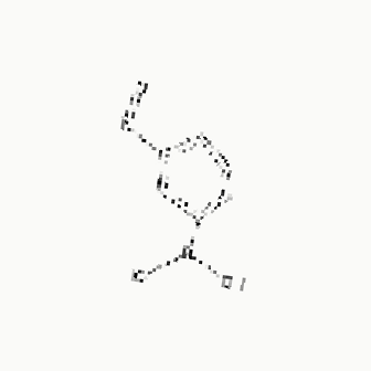 O=Nc1cccc(B(O)O)c1